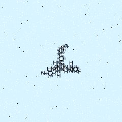 CNC(=O)C(Cc1ccc(C#N)cc1)Nc1nc(NCc2nc3cc(F)ccc3[nH]2)nc(Nc2cccc(CN3CCN(C=O)CC3)c2)n1